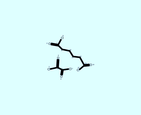 O=C(Cl)C(=O)Cl.O=C(Cl)CCCCC(=O)Cl